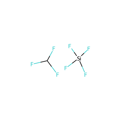 FC(F)F.F[Si](F)(F)F